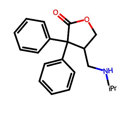 CC(C)NCC1COC(=O)C1(c1ccccc1)c1ccccc1